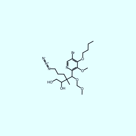 CCCCOc1c(Br)cnc(C(OCOC)C(C)(CCCN=[N+]=[N-])C(O)CO)c1OC